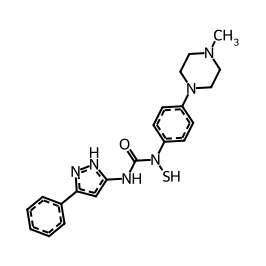 CN1CCN(c2ccc(N(S)C(=O)Nc3cc(-c4ccccc4)n[nH]3)cc2)CC1